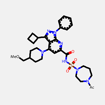 COCC1CCN(c2cc(C(=O)NS(=O)(=O)N3CCCN(C(C)=O)CC3)nc3c2c(C2CCC2)nn3-c2ccccc2)CC1